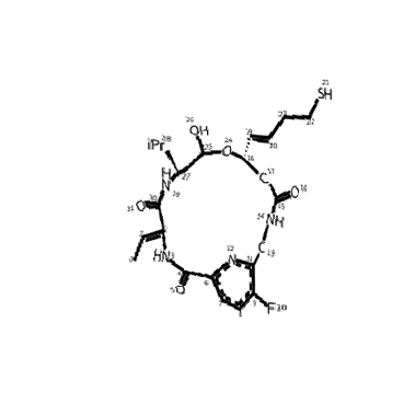 C/C=C1\NC(=O)c2ccc(F)c(n2)CNC(=O)C[C@@H](/C=C/CCS)OC(O)[C@H](C(C)C)NC1=O